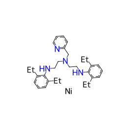 CCc1cccc(CC)c1NCCN(CCNc1c(CC)cccc1CC)Cc1ccccn1.[Ni]